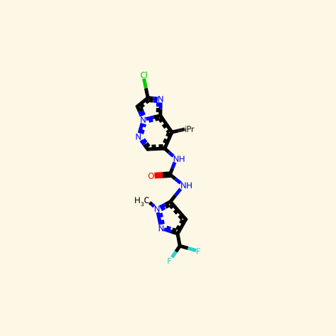 CC(C)c1c(NC(=O)Nc2cc(C(F)F)nn2C)cnn2cc(Cl)nc12